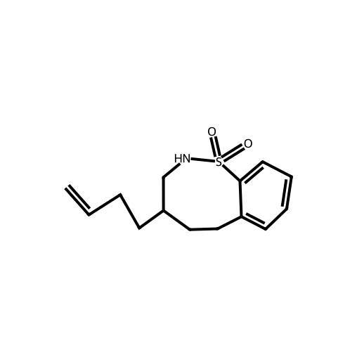 C=CCCC1CCc2ccccc2S(=O)(=O)NC1